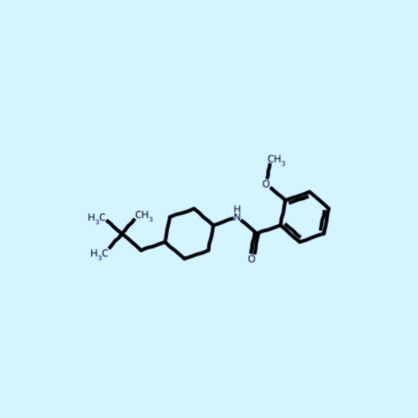 COc1ccccc1C(=O)NC1CCC(CC(C)(C)C)CC1